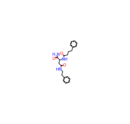 NC(=O)C(CC(=O)NCCc1ccccc1)NC(=O)CCCc1ccccc1